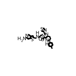 Cc1ccc([C@@H]2CCc3nc(-c4cscn4)n(CC(=O)NCc4cc5cnc(N)cc5s4)c(=O)c3N2)cc1